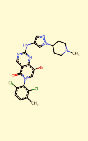 Cc1ccc(Cl)c(-n2cc(Br)c3nc(Nc4cnn(C5CCN(C)CC5)c4)ncc3c2=O)c1Cl